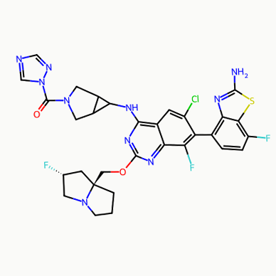 Nc1nc2c(-c3c(Cl)cc4c(NC5C6CN(C(=O)n7cncn7)CC65)nc(OC[C@@]56CCCN5C[C@H](F)C6)nc4c3F)ccc(F)c2s1